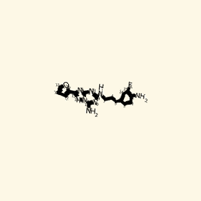 Nc1ccc(CCCNc2nc(N)n3nc(-c4ccco4)nc3n2)cc1F